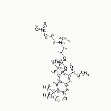 COC(=O)C1=Cc2cc(Cl)c(C(C)(C)C)cc2O[C@]1(OC(=O)OCCN(C)CCO[N+](=O)[O-])C(F)(F)F